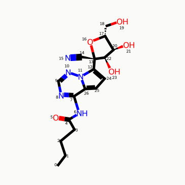 CCCCC(=O)Nc1ncnn2c([C@]3(C#N)O[C@H](CO)[C@@H](O)[C@H]3O)ccc12